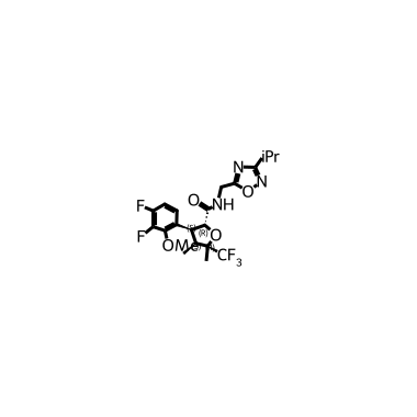 COc1c([C@H]2[C@H](C(=O)NCc3nc(C(C)C)no3)O[C@@](C)(C(F)(F)F)[C@H]2C)ccc(F)c1F